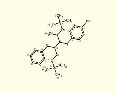 CC(O[Si](C)(C)C)C(Cc1ccc(F)cc1)C(CO[Si](C)(C)C)Cc1ccccc1